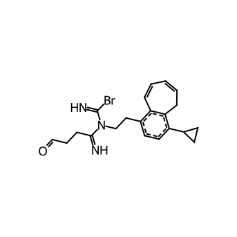 N=C(Br)N(CCc1ccc(C2CC2)c2c1C=CC=CC2)C(=N)CCC=O